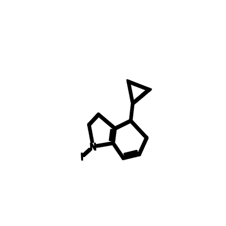 IN1CCC2=C1C=CCC2C1CC1